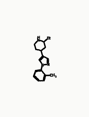 CCC1CC(c2cnn(-c3ccccc3C)c2)CCN1